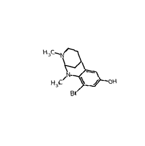 CN1CCC2CC1N(C)c1c(Br)cc(O)cc12